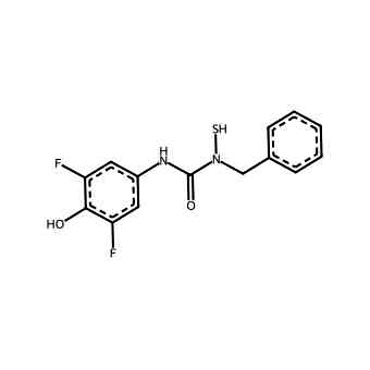 O=C(Nc1cc(F)c(O)c(F)c1)N(S)Cc1ccccc1